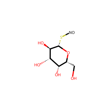 O=NS[C@@H]1O[C@H](CO)[C@H](O)[C@H](O)[C@H]1O